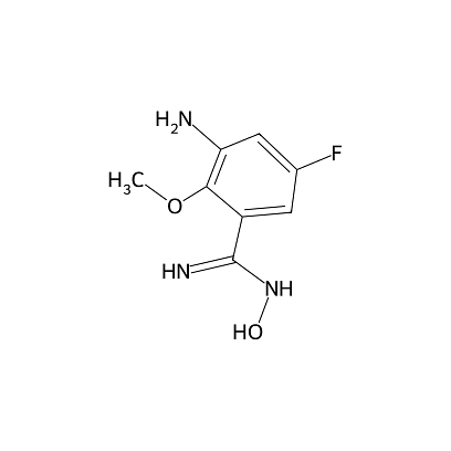 COc1c(N)cc(F)cc1C(=N)NO